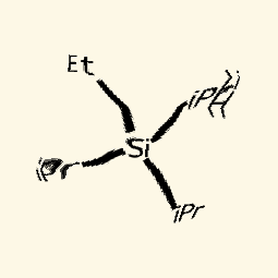 [CH2]C[Si](C(C)C)(C(C)C)C(C)C.[LiH]